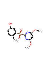 COc1cc(OC)nc(S(=O)(=O)c2cc(O)ccc2C)n1